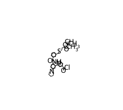 CC(C)(C)OC(=O)CCSCc1cccc(C(=O)Nc2ccc(N3CCCCC3)cc2-c2cc(C(=O)Cl)ccn2)c1